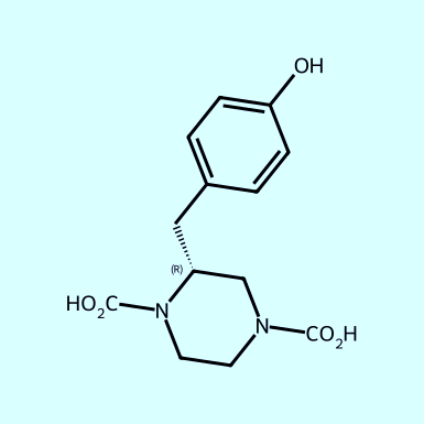 O=C(O)N1CCN(C(=O)O)[C@H](Cc2ccc(O)cc2)C1